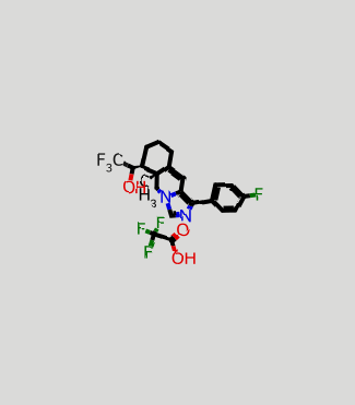 C[C@]12Cn3cnc(-c4ccc(F)cc4)c3C=C1CCC[C@@H]2C(O)C(F)(F)F.O=C(O)C(F)(F)F